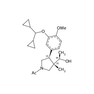 [CH2]C(=O)N1C[C@@H](c2ccc(OC)c(OC(C3CC3)C3CC3)c2)[C@](C)([C@@H](C)O)C1